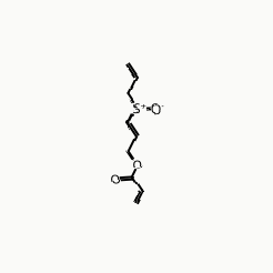 C=CC[S+]([O-])C=CCOC(=O)C=C